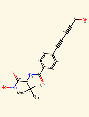 CSC(C)(C)C(NC(=O)c1ccc(C#CC#CCO)cc1)C(=O)NO